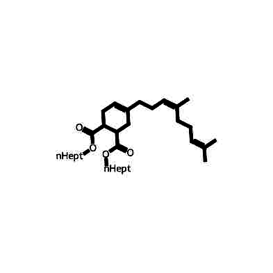 CCCCCCCOC(=O)C1CC=C(CCC=C(C)CCC=C(C)C)CC1C(=O)OCCCCCCC